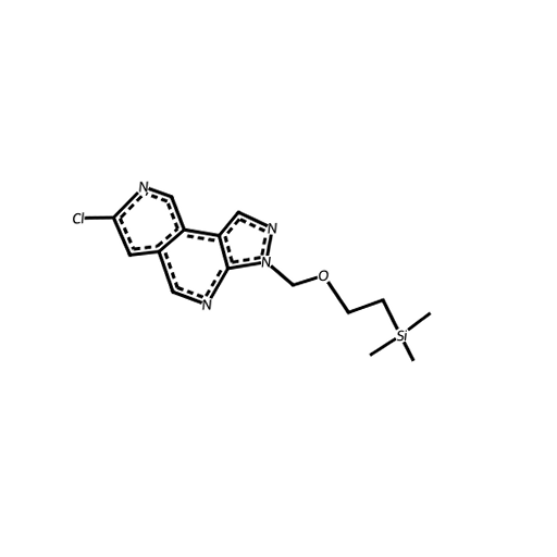 C[Si](C)(C)CCOCn1ncc2c3cnc(Cl)cc3cnc21